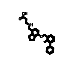 Cc1c(COc2ccc(CNCCC(=O)O)c3c2CCC3)cccc1-c1ccccc1